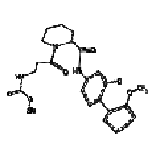 CC(C)(C)OC(=O)NCCC(=O)N1CCCCC1C(=O)Nc1ccc(-c2ccccc2OC(F)(F)F)c(Cl)c1